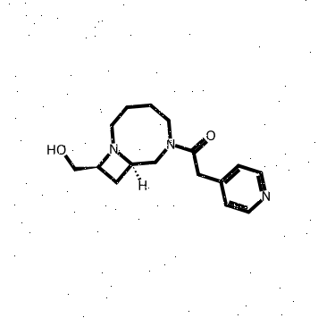 O=C(Cc1ccncc1)N1CCCCN2[C@H](CO)C[C@@H]2C1